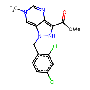 COC(=O)C1=C2N=CN(C(F)(F)F)C=C2N(Cc2ccc(Cl)cc2Cl)N1